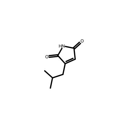 CC(C)CC1=CC(=O)NC1=O